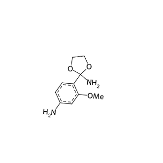 COc1cc(N)ccc1C1(N)OCCO1